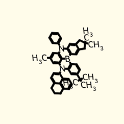 Cc1cc2c3c(c1)N(c1ccc4c5c(cccc15)CCC4)c1cc(C(C)(C)C)ccc1B3c1cc3c(cc1N2c1ccccc1)CC(C)(C)C3